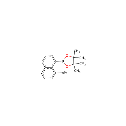 CCCc1cccc2cccc(B3OC(C)(C)C(C)(C)O3)c12